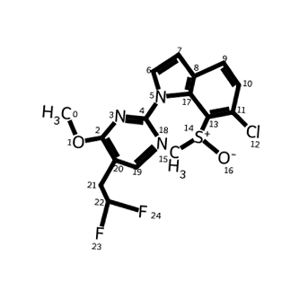 COc1nc(-n2ccc3ccc(Cl)c([S+](C)[O-])c32)ncc1CC(F)F